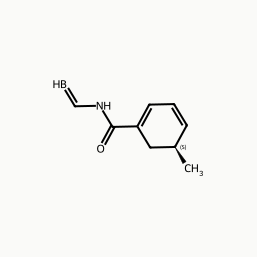 B=CNC(=O)C1=CC=C[C@@H](C)C1